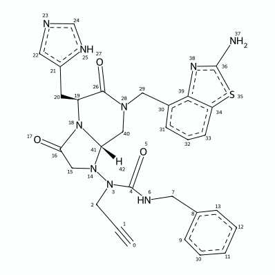 C#CCN(C(=O)NCc1ccccc1)N1CC(=O)N2[C@@H](Cc3cnc[nH]3)C(=O)N(Cc3cccc4sc(N)nc34)C[C@@H]21